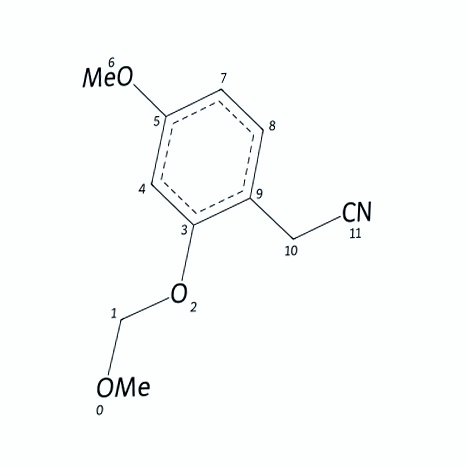 COCOc1cc(OC)ccc1CC#N